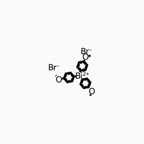 COc1cc[c]([Bi+2]([c]2ccc(OC)cc2)[c]2ccc(OC)cc2)cc1.[Br-].[Br-]